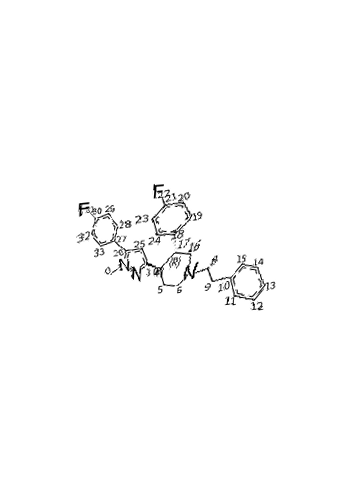 Cn1nc([C@@H]2CCN(CCc3ccccc3)C[C@H]2c2ccc(F)cc2)cc1-c1ccc(F)cc1